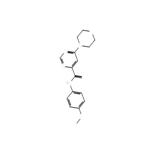 COc1ccc(NC(=O)c2cc(N3CCOCC3)ncn2)cc1